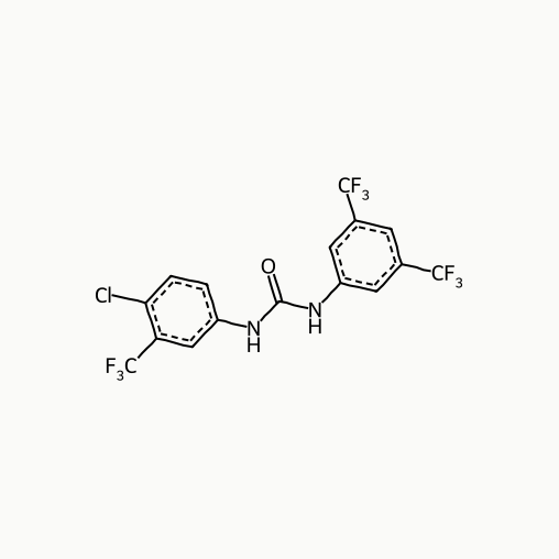 O=C(Nc1cc(C(F)(F)F)cc(C(F)(F)F)c1)Nc1ccc(Cl)c(C(F)(F)F)c1